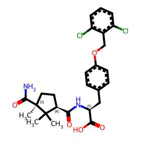 CC1(C)[C@H](C(=O)N[C@@H](Cc2ccc(OCc3c(Cl)cccc3Cl)cc2)C(=O)O)CC[C@]1(C)C(N)=O